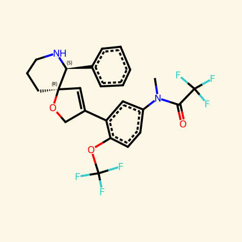 CN(C(=O)C(F)(F)F)c1ccc(OC(F)(F)F)c(C2=C[C@@]3(CCCN[C@H]3c3ccccc3)OC2)c1